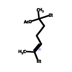 CC/C(C)=C/CCC(C)(CC)OC(C)=O